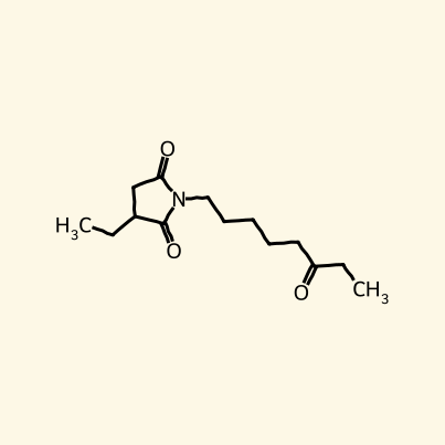 CCC(=O)CCCCCN1C(=O)CC(CC)C1=O